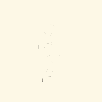 CCS(=O)(=O)c1ccc(CC(=O)Nc2nc3c(s2)C(C)N(Cc2ccc(C#N)cc2)C3C(C)C)cc1